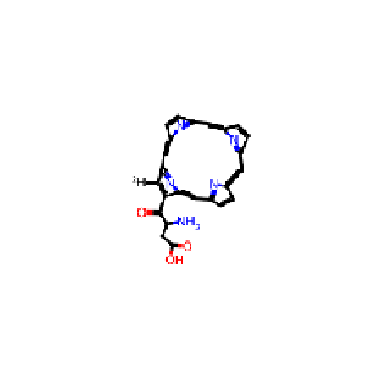 [2H]C1=C(C(=O)C(N)CC(=O)O)C2=CC3=NC(=CC4=NC(=CC5=NC(=CC1=N2)C=C5)C=C4)C=C3